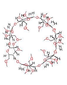 COC[C@H]1O[C@@H]2O[C@@H]3[C@@H](OC)[C@@H](OC)[C@@H](O[C@@H]4[C@@H](OC)[C@@H](OC)[C@@H](O[C@@H]5[C@@H](OC)[C@@H](OC)[C@@H](O[C@@H]6[C@@H](OC)[C@@H](OC)[C@@H](O[C@@H]7[C@@H](OC)[C@@H](OC)[C@@H](O[C@@H]8[C@@H](OC)[C@@H](OC)[C@@H](O[C@@H]1[C@@H](OC)[C@H]2OC)O[C@@H]8COC)O[C@@H]7COC)O[C@@H]6COC)O[C@@H]5COC)O[C@@H]4COC)O[C@@H]3COC